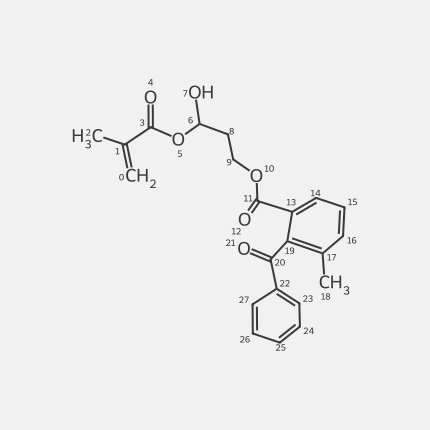 C=C(C)C(=O)OC(O)CCOC(=O)c1cccc(C)c1C(=O)c1ccccc1